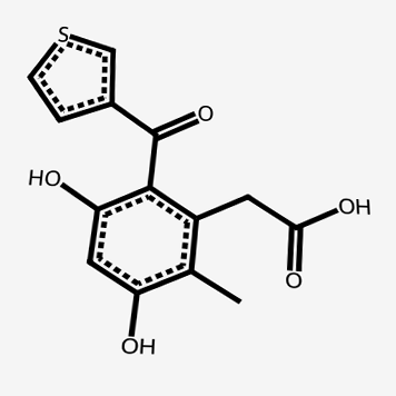 Cc1c(O)cc(O)c(C(=O)c2ccsc2)c1CC(=O)O